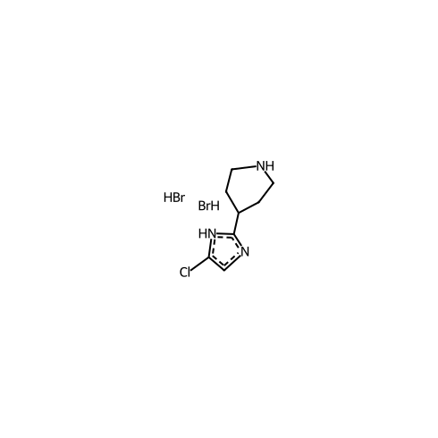 Br.Br.Clc1cnc(C2CCNCC2)[nH]1